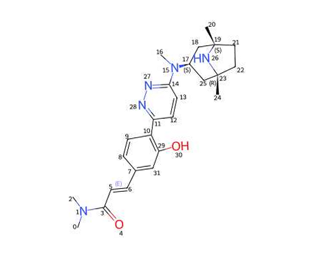 CN(C)C(=O)/C=C/c1ccc(-c2ccc(N(C)[C@H]3C[C@]4(C)CC[C@](C)(C3)N4)nn2)c(O)c1